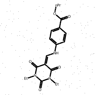 CCCOC(=O)c1ccc(NC=C2C(=O)N(CC)C(=O)N(CC)C2=O)cc1